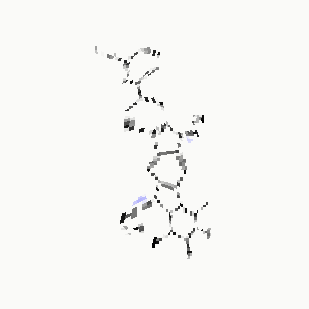 N#C/N=c1/c2cc3c(cc2c2c(F)c(F)c(F)c(F)c12)/c(=N/C#N)c1cc(-c2cccc(C(F)(F)F)c2)ccc13